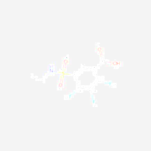 CCNS(=O)(=O)c1cc(C(=O)O)c(F)c(F)c1F